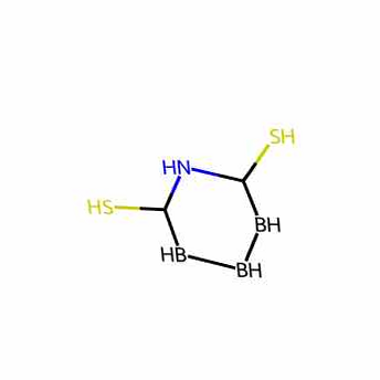 SC1BBBC(S)N1